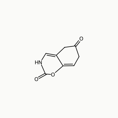 O=C1CC=C2OC(=O)NC=C2C1